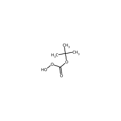 CC(C)(C)OC(=O)OO